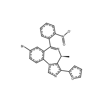 C[C@@H]1N=C(c2ccccc2[N+](=O)[O-])c2cc(Br)ccc2-n2cnc(-c3ccco3)c21